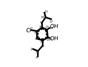 CC(C)Cc1cc(Cl)c(CC(C)C)c(O)c1O